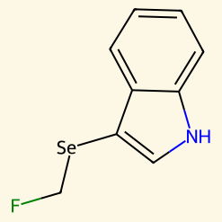 FC[Se]c1c[nH]c2ccccc12